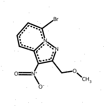 COCc1nn2c(Br)cccc2c1[N+](=O)[O-]